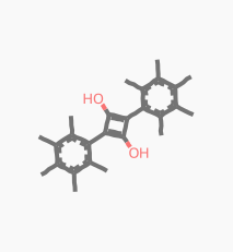 Cc1c(C)c(C)c(C2=C(O)C(c3c(C)c(C)c(C)c(C)c3C)=C2O)c(C)c1C